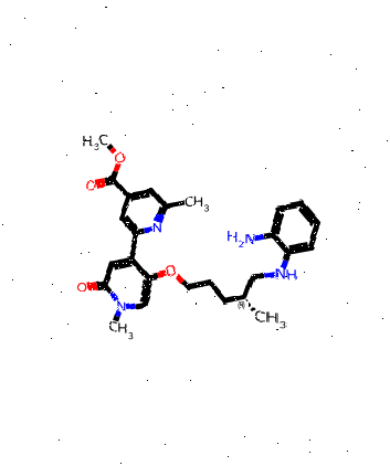 COC(=O)c1cc(C)nc(-c2cc(=O)n(C)cc2OCCC[C@@H](C)CNc2ccccc2N)c1